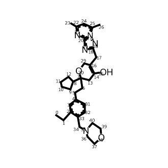 CCc1cc(CCC2(C3CCCC3)CC(O)=C(Cc3nc4nc(C)cc(C)n4n3)CO2)ccc1CN1CCOCC1